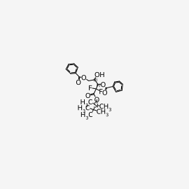 CC(C)(C)[Si](C)(C)OC(=O)C(F)(F)[C@H](OC(=O)c1ccccc1)[C@H](O)COC(=O)c1ccccc1